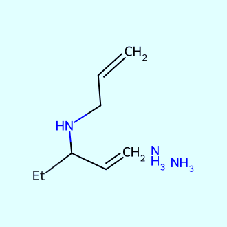 C=CCNC(C=C)CC.N.N